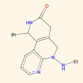 CCNN1CC2=C(c3cccnc31)C(C(C)C)NC(=O)C2